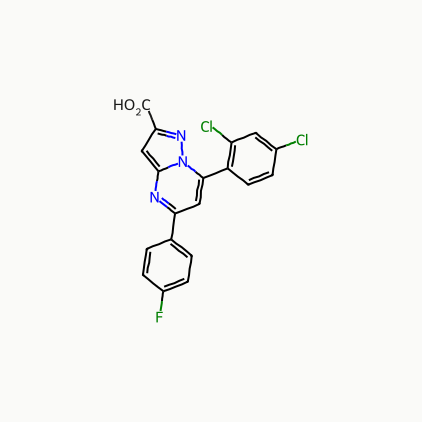 O=C(O)c1cc2nc(-c3ccc(F)cc3)cc(-c3ccc(Cl)cc3Cl)n2n1